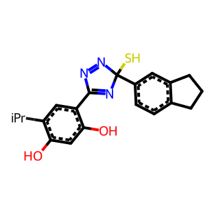 CC(C)c1cc(C2=NC(S)(c3ccc4c(c3)CCC4)N=N2)c(O)cc1O